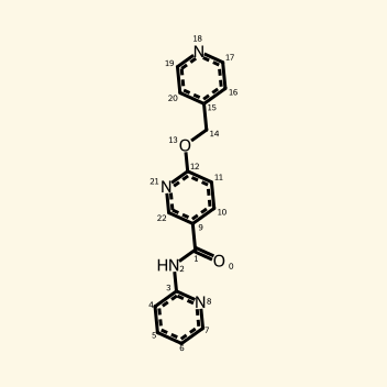 O=C(Nc1ccccn1)c1ccc(OCc2ccncc2)nc1